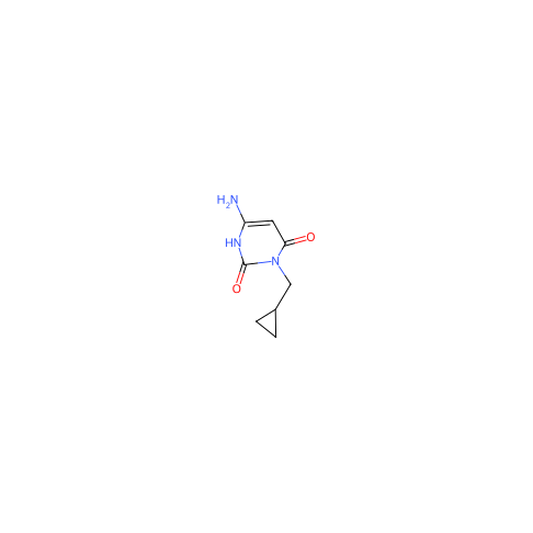 Nc1cc(=O)n(CC2CC2)c(=O)[nH]1